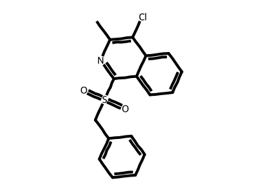 Cc1nc(S(=O)(=O)Cc2ccccc2)c2ccccc2c1Cl